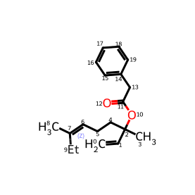 C=CC(C)(CC/C=C(/C)CC)OC(=O)Cc1ccccc1